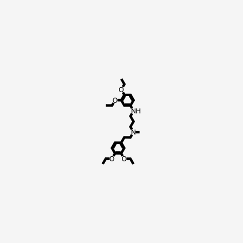 CCOc1ccc(CCN(C)CCCNc2ccc(OCC)c(OCC)c2)cc1OCC